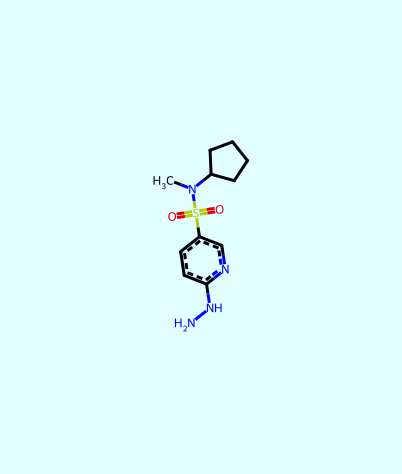 CN(C1CCCC1)S(=O)(=O)c1ccc(NN)nc1